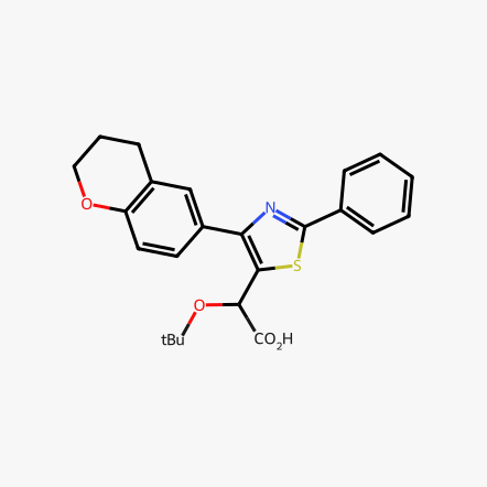 CC(C)(C)OC(C(=O)O)c1sc(-c2ccccc2)nc1-c1ccc2c(c1)CCCO2